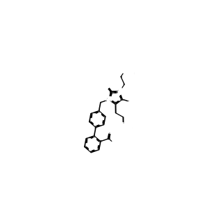 CCCc1c(F)n(CCC)c(=O)n1Cc1ccc(-c2ccccc2C(=O)O)cc1